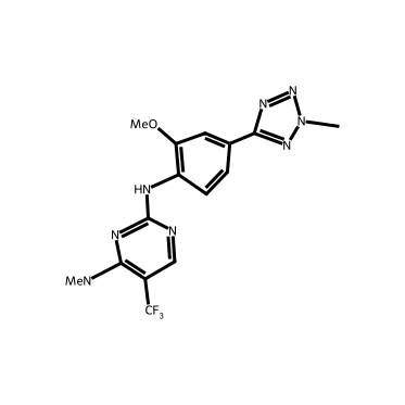 CNc1nc(Nc2ccc(-c3nnn(C)n3)cc2OC)ncc1C(F)(F)F